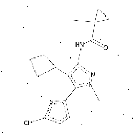 Cn1nc(NC(=O)C2(C)CC2)c(C2CCC2)c1-c1ccc(Cl)s1